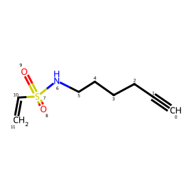 C#CCCCCNS(=O)(=O)C=C